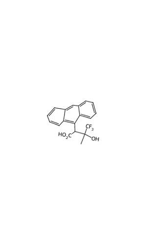 CC(O)(C(C(=O)O)c1c2ccccc2cc2ccccc12)C(F)(F)F